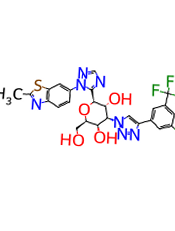 Cc1nc2ccc(-n3ncnc3[C@@H]3O[C@H](CO)[C@H](O)[C@H](n4cc(-c5cc(F)cc(C(F)(F)F)c5)nn4)[C@H]3O)cc2s1